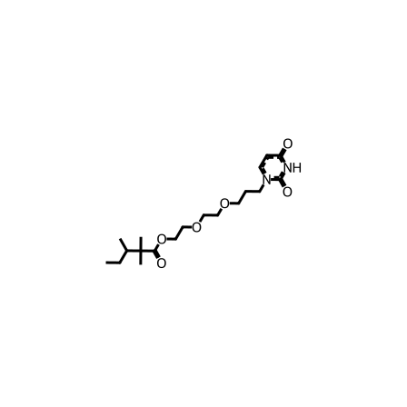 CCC(C)C(C)(C)C(=O)OCCOCCOCCCn1ccc(=O)[nH]c1=O